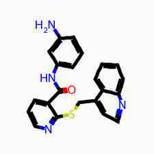 Nc1cccc(NC(=O)c2cccnc2SCc2ccnc3ccccc23)c1